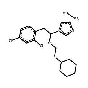 Clc1ccc(CC(OCSC2CCCCC2)n2ccnc2)c(Cl)c1.O=[N+]([O-])O